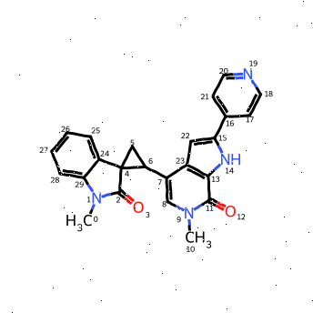 CN1C(=O)C2(CC2c2cn(C)c(=O)c3[nH]c(-c4ccncc4)cc23)c2ccccc21